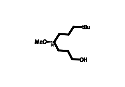 CO[C@@H](CCCO)CCCC(C)(C)C